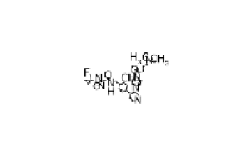 Cc1cc(-c2ccncc2N2CCN(C(=O)/C=C/CN(C)C)CC2)ccc1CNC(=O)c1noc(C2(CF)CC2)n1